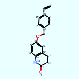 C=Cc1ccc(COc2ccc3c(c2)CCC(=O)N3)cc1